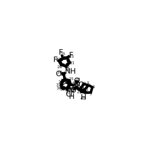 O=C(C[C@@]1(O)C2CC[C@H]1C[C@H](S(=O)(=O)c1cc(C(=O)Nc3cc(F)c(F)c(F)c3)ccc1Cl)C2)N[C@@H]1CCOC1